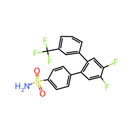 NS(=O)(=O)c1ccc(-c2cc(F)c(F)cc2-c2cccc(C(F)(F)F)c2)cc1